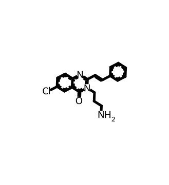 NCCCn1c(C=Cc2ccccc2)nc2ccc(Cl)cc2c1=O